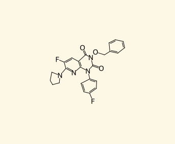 O=c1c2cc(F)c(N3CCCC3)nc2n(-c2ccc(F)cc2)c(=O)n1OCc1ccccc1